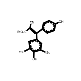 CCOC(=O)C(C#N)=C(c1ccc(O)cc1)c1cc(C(C)(C)C)c(O)c(C(C)(C)C)c1